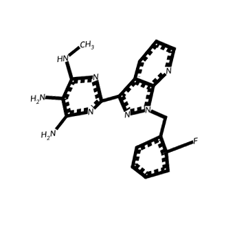 CNc1nc(-c2nn(Cc3ccccc3F)c3ncccc23)nc(N)c1N